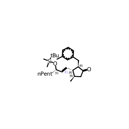 CCCCC[C@@H](/C=C/[C@H]1[C@H](C)CC(=O)[C@@H]1Cc1cccc(C)c1)O[Si](C)(C)C(C)(C)C